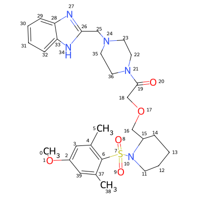 COc1cc(C)c(S(=O)(=O)N2CCCCC2COCC(=O)N2CCN(Cc3nc4ccccc4[nH]3)CC2)c(C)c1